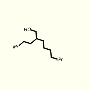 CC(C)CCCCC(CO)CCC(C)C